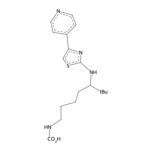 CC(C)(C)C(CCCCNC(=O)O)Nc1nc(-c2ccncc2)cs1